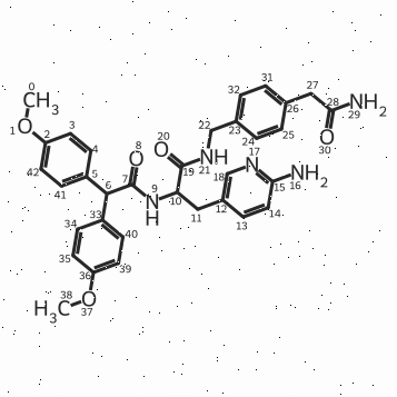 COc1ccc(C(C(=O)NC(Cc2ccc(N)nc2)C(=O)NCc2ccc(CC(N)=O)cc2)c2ccc(OC)cc2)cc1